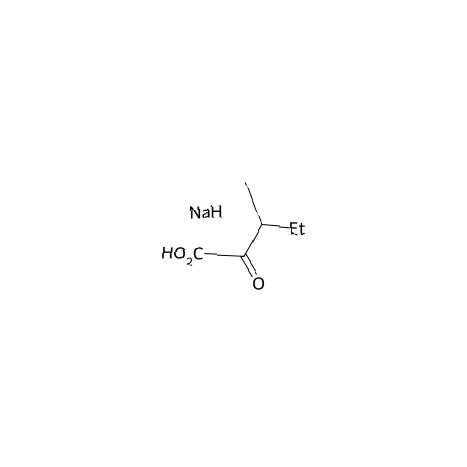 CCC(C)C(=O)C(=O)O.[NaH]